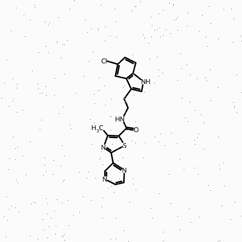 Cc1nc(-c2cnccn2)sc1C(=O)NCCc1c[nH]c2ccc(Cl)cc12